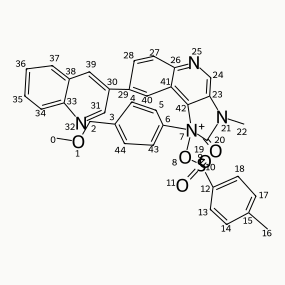 COCc1ccc([N+]2(OS(=O)(=O)c3ccc(C)cc3)C(=O)N(C)c3cnc4ccc(-c5cnc6ccccc6c5)cc4c32)cc1